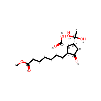 COC(=O)CCCCCCC1C(=O)C[C@@H](C(C)(O)O)[C@H]1C(=O)O